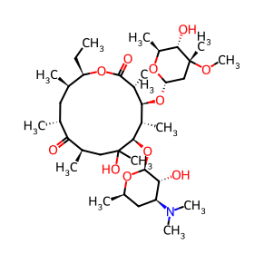 CC[C@H]1OC(=O)[C@H](C)[C@@H](O[C@H]2C[C@@](C)(OC)[C@@H](O)[C@H](C)O2)[C@H](C)[C@@H](O[C@@H]2O[C@H](C)C[C@H](N(C)C)[C@H]2O)C(C)(O)C[C@@H](C)C(=O)[C@H](C)C[C@H]1C